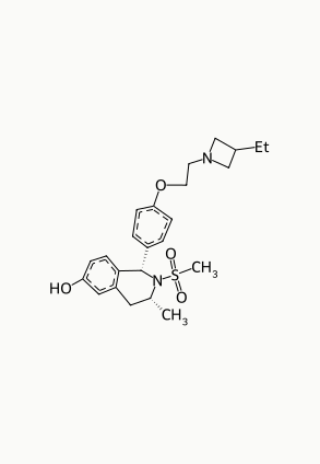 CCC1CN(CCOc2ccc([C@H]3c4ccc(O)cc4C[C@@H](C)N3S(C)(=O)=O)cc2)C1